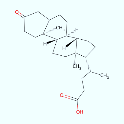 CC(CCC(=O)O)[C@H]1CC[C@H]2[C@@H]3CCC4CC(=O)CC[C@]4(C)[C@H]3CC[C@]12C